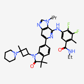 CCNC(=O)c1cc(Nc2nc(-c3ccc4c(c3)N(C3CC(C)(N5CCCCC5)C3)C(=O)C4(C)C)cc3ncn(C(C)C)c23)c(F)c(F)c1C